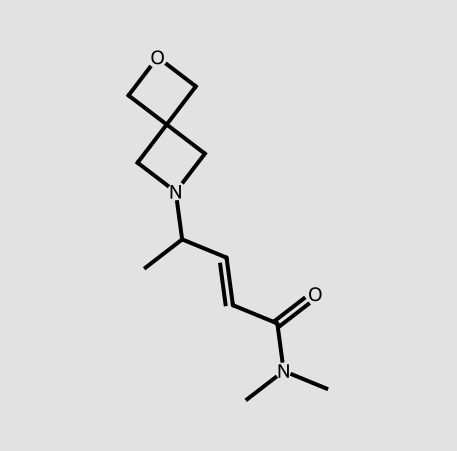 CC(C=CC(=O)N(C)C)N1CC2(COC2)C1